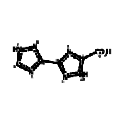 O=C(O)c1nc(-c2nc[nH]n2)n[nH]1